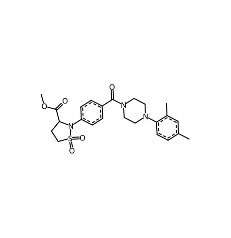 COC(=O)C1CCS(=O)(=O)N1c1ccc(C(=O)N2CCN(c3ccc(C)cc3C)CC2)cc1